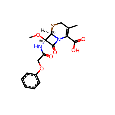 CO[C@]1(NC(=O)COc2ccccc2)C(=O)N2C(C(=O)O)=C(C)CS[C@@H]21